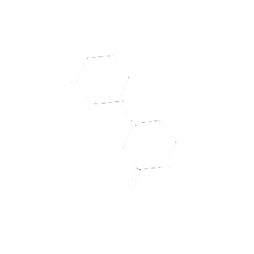 O=C1CN(C2CCCCC2)CCO1